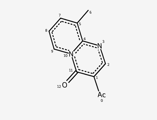 CC(=O)c1cnc2c(C)cccn2c1=O